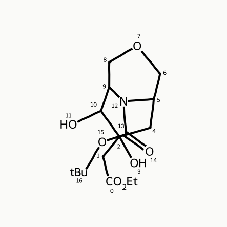 CCOC(=O)CC1(O)CC2COCC(C1O)N2C(=O)OC(C)(C)C